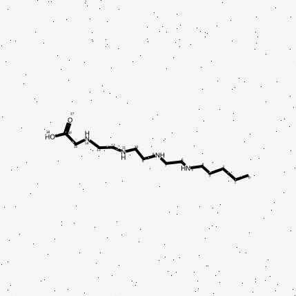 CCCCCNCCNCCNCCNCC(=O)O